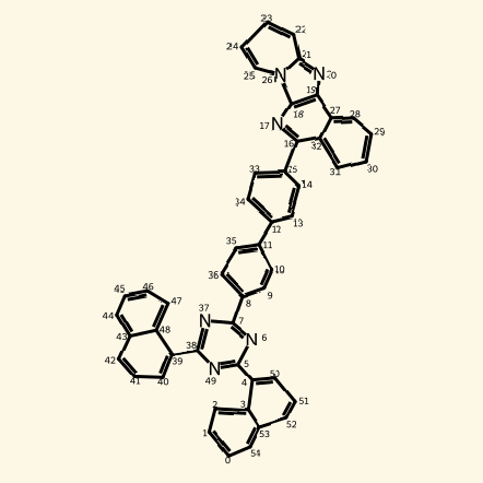 c1ccc2c(-c3nc(-c4ccc(-c5ccc(-c6nc7c(nc8ccccn87)c7ccccc67)cc5)cc4)nc(-c4cccc5ccccc45)n3)cccc2c1